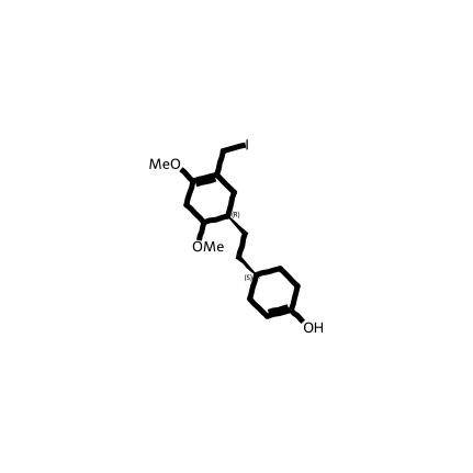 COC1=C(CI)C[C@@H](CC[C@@H]2CC=C(O)CC2)C(OC)C1